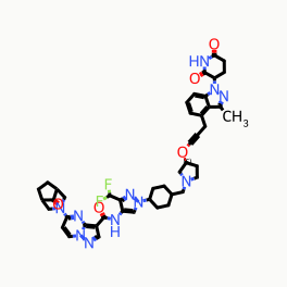 Cc1nn(C2CCC(=O)NC2=O)c2cccc(CC#CO[C@H]3CCN(CC4CCC(n5cc(NC(=O)c6cnn7ccc(N8CC9CCC(C8)C9=O)nc67)c(C(F)F)n5)CC4)C3)c12